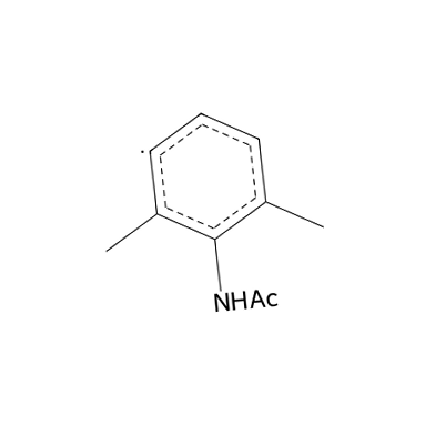 CC(=O)Nc1c(C)[c]ccc1C